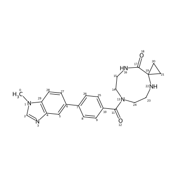 Cn1cnc2cc(-c3ccc(C(=O)N4CCNC(=O)C5(CC5)NCC4)cc3)ccc21